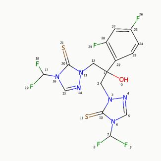 OC(Cn1ncn(C(F)F)c1=S)(Cn1ncn(C(F)F)c1=S)c1ccc(F)cc1F